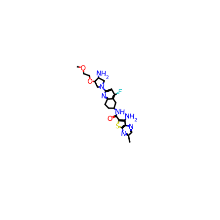 COCCOC1CN(c2cc(F)c3c(n2)CCC(NC(=O)c2sc4nc(C)cnc4c2N)C3)CC1N